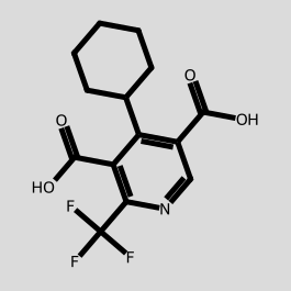 O=C(O)c1cnc(C(F)(F)F)c(C(=O)O)c1C1CCCCC1